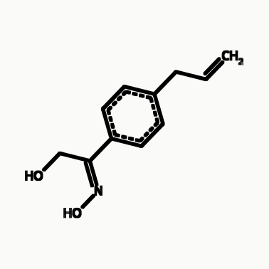 C=CCc1ccc(C(CO)=NO)cc1